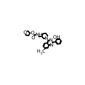 Cc1ccc2c(N3CCCC(CNC(=O)O[C@@H]4CCOC4)C3)nc(-c3ccccc3O)nc2c1